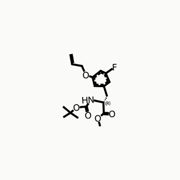 C=CCOc1cc(F)cc(C[C@@H](NC(=O)OC(C)(C)C)C(=O)OC)c1